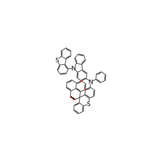 c1ccc(N(c2ccc3c(c2)C2(c4ccccc4S3)c3ccccc3-c3cccc4cccc2c34)c2ccc3c(c2)c2ccccc2n3-c2cccc3sc4ccccc4c23)cc1